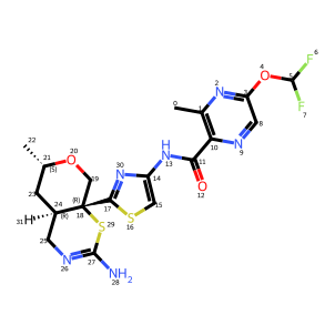 Cc1nc(OC(F)F)cnc1C(=O)Nc1csc([C@]23CO[C@@H](C)C[C@@H]2CN=C(N)S3)n1